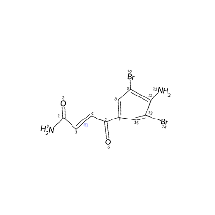 NC(=O)/C=C/C(=O)c1cc(Br)c(N)c(Br)c1